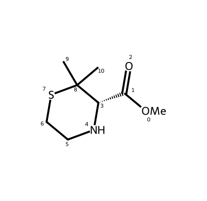 COC(=O)[C@@H]1NCCSC1(C)C